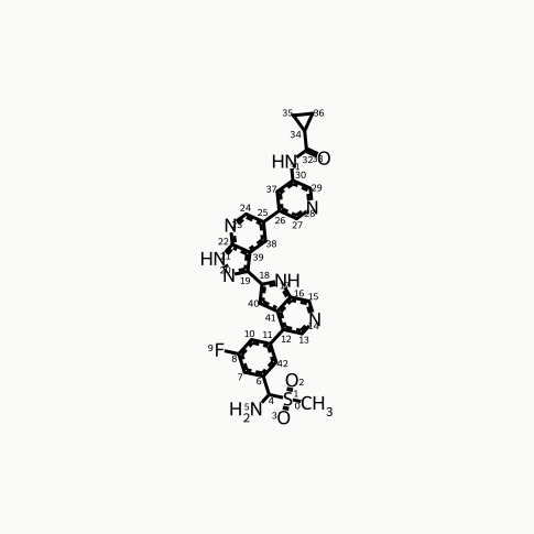 CS(=O)(=O)C(N)c1cc(F)cc(-c2cncc3[nH]c(-c4n[nH]c5ncc(-c6cncc(NC(=O)C7CC7)c6)cc45)cc23)c1